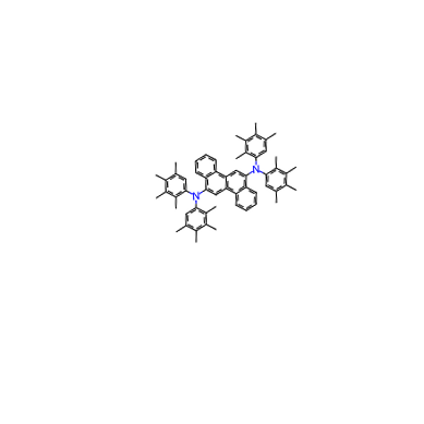 Cc1cc(N(c2cc(C)c(C)c(C)c2C)c2cc3c4ccccc4c(N(c4cc(C)c(C)c(C)c4C)c4cc(C)c(C)c(C)c4C)cc3c3ccccc23)c(C)c(C)c1C